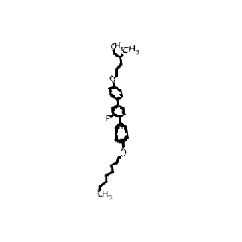 CCCCCCCCOc1ccc(-c2ccc(-c3ccc(OCCCC(C)CC)cc3)cc2F)cc1